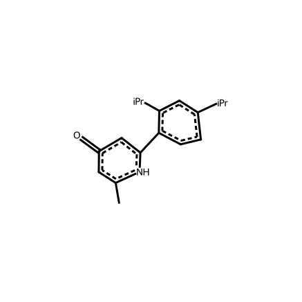 Cc1cc(=O)cc(-c2ccc(C(C)C)cc2C(C)C)[nH]1